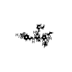 CCC(=O)N[C@H]1C[C@@H](n2cnc3c(NCCc4ccc(S(N)(=O)=O)cc4)nc(NC[C@H]4CCCN4CC)nc32)[C@H](OC(=O)C(F)(F)F)[C@@H]1O